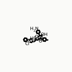 Cc1ccc(S(=O)(=O)N(CC(O)CN2CCN(c3ccccc3Cl)CC2)C(=O)C(c2ccc(N)cc2)C(C)O)cc1